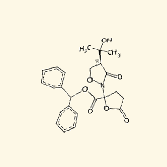 CC(C)(O)[C@@H]1CON(C2(C(=O)OC(c3ccccc3)c3ccccc3)CCC(=O)O2)C1=O